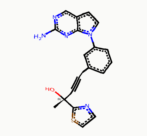 C[C@@](O)(C#Cc1cccc(-n2ccc3cnc(N)nc32)c1)c1nccs1